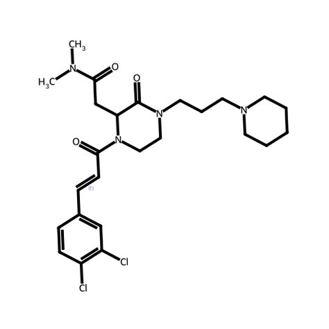 CN(C)C(=O)CC1C(=O)N(CCCN2CCCCC2)CCN1C(=O)/C=C/c1ccc(Cl)c(Cl)c1